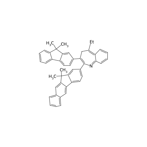 CCC1=c2ccccc2=NC(c2ccc3c(c2)C(C)(C)c2cc4ccccc4cc2-3)=C(c2ccc3c(c2)C(C)(C)c2ccccc2-3)C1